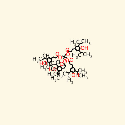 CCC(C)c1cc(CCC(=O)OCC(COC(=O)CCc2cc(C(C)CC)c(O)c(C(C)CC)c2)(COC(=O)CCc2cc(C(C)CC)c(O)c(C(C)CC)c2)COC(=O)CCc2cc(C(C)CC)c(O)c(C(C)CC)c2)cc(C(C)CC)c1O